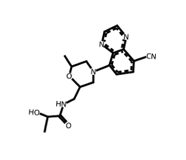 CC1CN(c2ccc(C#N)c3nccnc23)CC(CNC(=O)C(C)O)O1